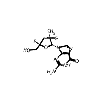 C[C@@]1(F)C[C@@](F)(CO)O[C@H]1n1cnc2c(=O)[nH]c(N)nc21